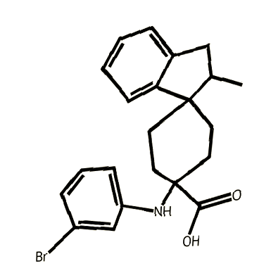 CC1Cc2ccccc2C12CCC(Nc1cccc(Br)c1)(C(=O)O)CC2